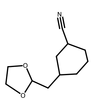 N#CC1CCCC(CC2OCCO2)C1